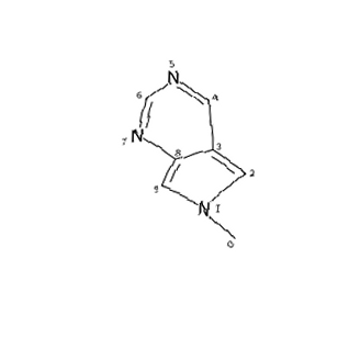 Cn1cc2cncnc2c1